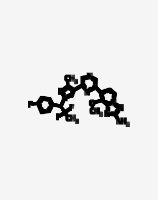 COc1c(-c2cncc(-c3cn([C@H](c4ccc(F)cc4)C(C)(F)F)nc3C)n2)ccn2nc(N)nc12